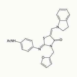 CC(=O)Nc1ccc(N=C2SC(=CN3CCc4ccccc43)C(=O)N2Cc2ccco2)cc1